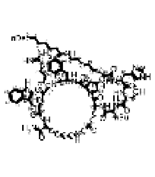 CCCCCCCCCCCCCCCC(=O)NCCOCCOCC(=O)N[C@@H](Cc1c[nH]cn1)C(=O)N[C@@H](CO)C(=O)N[C@@H](CCCC)C(=O)N[C@H]1CCC(=O)CNCCCC[C@@H](C(N)=O)NC(=O)[C@H](Cc2c[nH]c3ccccc23)NC(=O)[C@H](CCCNC(=N)N)NC(=O)C(Cc2ccccc2)NC(=O)[C@@H]2C[C@@H](O)CN2C1=O